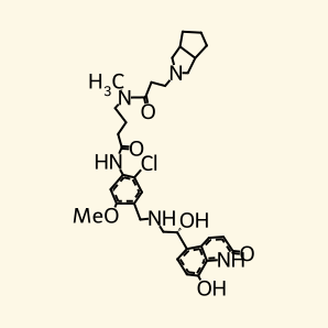 COc1cc(NC(=O)CCCN(C)C(=O)CCN2CC3CCCC3C2)c(Cl)cc1CNC[C@H](O)c1ccc(O)c2[nH]c(=O)ccc12